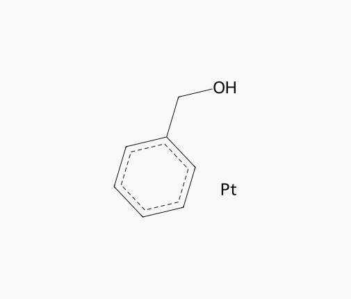 OCc1ccccc1.[Pt]